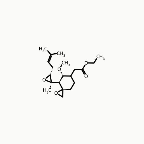 CCOC(=O)CC1CC[C@]2(CO2)[C@@H]([C@@]2(C)O[C@@H]2CC=C(C)C)[C@@H]1OC